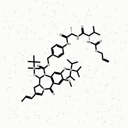 C=CCOC(=O)N[C@H](C(=O)N[C@@H](C)C(=O)Nc1ccc(COC(=O)N2c3cc(O[Si](C(C)C)(C(C)C)C(C)C)c(OC)cc3C(=O)N3C=C(/C=C/C)CC3C2O[Si](C)(C)C(C)(C)C)cc1)C(C)C